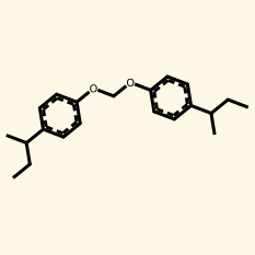 CCC(C)c1ccc(OCOc2ccc(C(C)CC)cc2)cc1